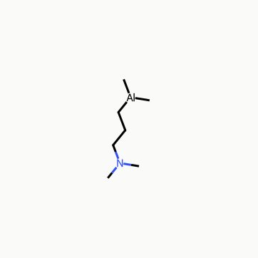 CN(C)CC[CH2][Al]([CH3])[CH3]